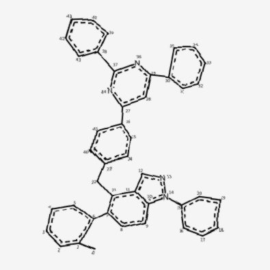 Cc1ccccc1-c1ccc2c(cnn2-c2ccccc2)c1Cc1ccc(-c2cc(-c3ccccc3)nc(-c3ccccc3)n2)cc1